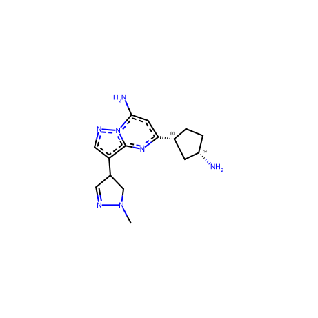 CN1CC(c2cnn3c(N)cc([C@@H]4CC[C@H](N)C4)nc23)C=N1